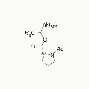 CCCCCCC(C)OC(=O)[C@H]1CCCN1C(C)=O